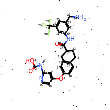 CN(C(=O)O)c1cc(Oc2ccc3c(c2)CC(C(=O)Nc2cc(CN)cc(C(F)(F)F)c2)CC3)ccn1